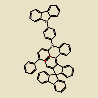 c1ccc(-c2ccc(N(c3ccc(-n4c5ccccc5c5ccccc54)cc3)c3ccccc3-c3cccc4c3-c3ccccc3C43c4ccccc4-c4ccccc43)cc2)cc1